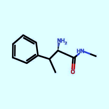 CNC(=O)[C@@H](N)C(C)c1ccccc1